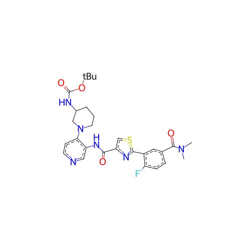 CN(C)C(=O)c1ccc(F)c(-c2nc(C(=O)Nc3cnccc3N3CCCC(NC(=O)OC(C)(C)C)C3)cs2)c1